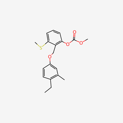 CCc1ccc(OCc2c(OC(=O)OC)cccc2SC)cc1C